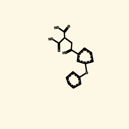 N=C(CC(C(=O)O)C(=O)O)c1cccc(Oc2ccccc2)c1